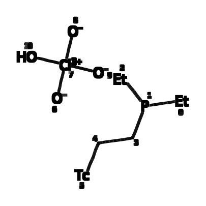 CCP(CC)C[CH2][Tc].[O-][Cl+3]([O-])([O-])O